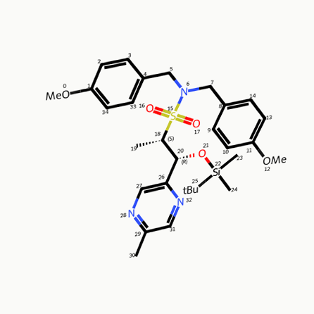 COc1ccc(CN(Cc2ccc(OC)cc2)S(=O)(=O)[C@@H](C)[C@H](O[Si](C)(C)C(C)(C)C)c2cnc(C)cn2)cc1